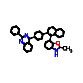 CC1Nc2cccc(-c3c(-c4ccc(-c5nc(-c6ccccc6)nc6ccccc56)cc4)ccc4ccccc34)c2O1